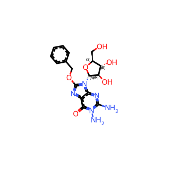 Nc1nc2c(nc(OCc3ccccc3)n2[C@@H]2O[C@@H](CO)[C@H](O)[C@H]2O)c(=O)n1N